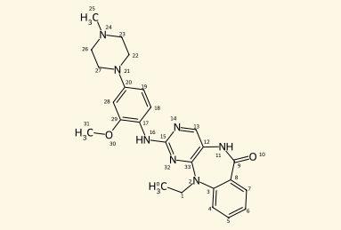 CCN1c2ccccc2C(=O)Nc2cnc(Nc3ccc(N4CCN(C)CC4)cc3OC)nc21